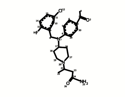 CC(=O)c1ccc(N(Cc2cc(Cl)ccc2F)C2CCN(C(C)CC(N)=O)CC2)cc1